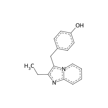 CCc1nc2ccccn2c1Cc1ccc(O)cc1